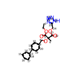 CCOC(=O)C(C)(OCc1ccc(-c2ccccc2)cc1)C(=O)OCc1nnn[nH]1